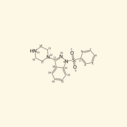 O=S(=O)(c1ccccc1)n1nc(N2CCNCC2)c2ccccc21